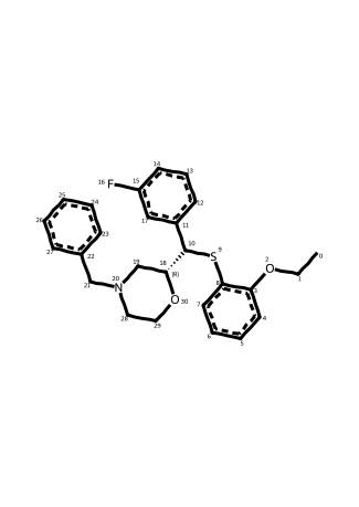 CCOc1ccccc1SC(c1cccc(F)c1)[C@H]1CN(Cc2ccccc2)CCO1